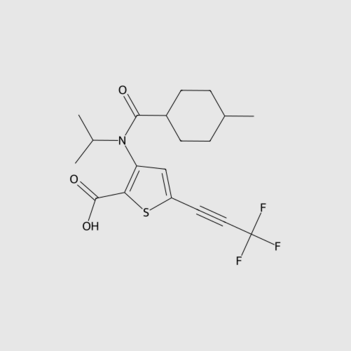 CC1CCC(C(=O)N(c2cc(C#CC(F)(F)F)sc2C(=O)O)C(C)C)CC1